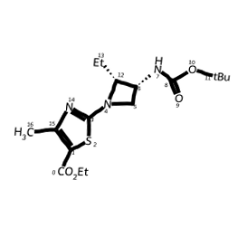 CCOC(=O)c1sc(N2C[C@@H](NC(=O)OC(C)(C)C)[C@H]2CC)nc1C